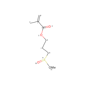 C=C(C)C(=O)OCCCS(=O)OC